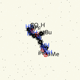 COC(=O)N[C@H](C(=O)n1cccc1-c1ncc(-c2ccc(-c3cc4n(n3)[C@H](c3ccc(C(C)(C)C)cc3)Oc3cc(-c5cnc(-c6cccn6C(=O)[C@@H](NC(=O)O)C(C)C)[nH]5)ccc3-4)cc2)[nH]1)C(C)C